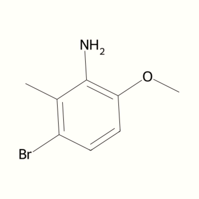 COc1ccc(Br)c(C)c1N